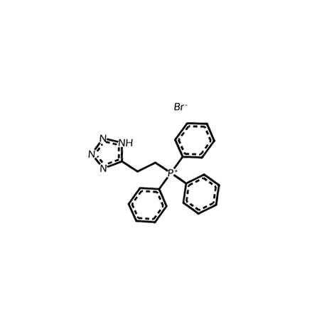 [Br-].c1ccc([P+](CCc2nnn[nH]2)(c2ccccc2)c2ccccc2)cc1